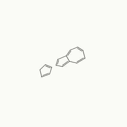 C1=CCC=C1.c1ccc2cccc-2cc1